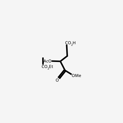 CCOC(C)=O.COC(=O)C(CC(=O)O)OC(C)=O